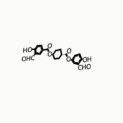 O=Cc1cc(OC(=O)[C@H]2CC[C@H](OC(=O)c3ccc(O)c(C=O)c3)CC2)ccc1O